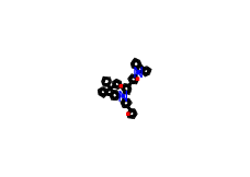 C1=CCCC(C2(c3ccccc3)c3ccccc3-c3ccc(N(c4ccc(-c5ccccc5)cc4)c4ccc(-c5ccc(-n6c7ccccc7c7ccccc76)cc5)cc4)cc32)=C1